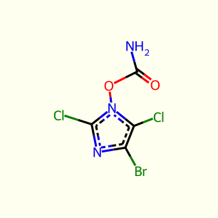 NC(=O)On1c(Cl)nc(Br)c1Cl